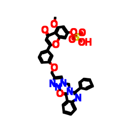 COc1cc(OS(=O)(=O)O)cc2oc(-c3cccc(OCc4cn(Cn5c(-c6ccccc6)nc6ccccc6c5=O)nn4)c3)cc(=O)c12